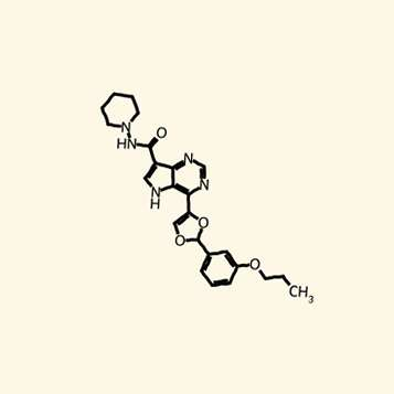 CCCOc1cccc(C2OC=C(c3ncnc4c(C(=O)NN5CCCCC5)c[nH]c34)O2)c1